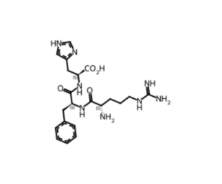 N=C(N)NCCC[C@H](N)C(=O)N[C@@H](Cc1ccccc1)C(=O)N[C@@H](Cc1c[nH]cn1)C(=O)O